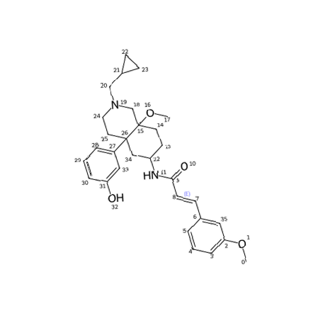 COc1cccc(/C=C/C(=O)NC2CCC3(OC)CN(CC4CC4)CCC3(c3cccc(O)c3)C2)c1